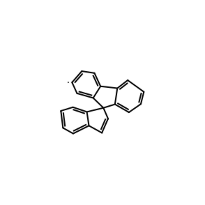 [c]1ccc2c(c1)C1(C=Cc3ccccc31)c1ccccc1-2